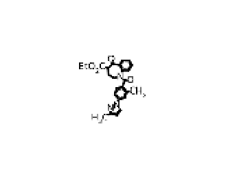 CCOC(=O)C1CCN(C(=O)c2ccc(-n3ccc(C)n3)cc2C)c2ccccc2C1=O